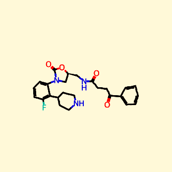 O=C(CCC(=O)c1ccccc1)NC[C@H]1CN(c2cccc(F)c2C2CCNCC2)C(=O)O1